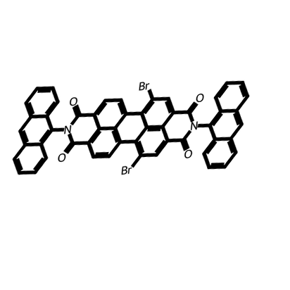 O=C1c2ccc3c4c(Br)cc5c6c(cc(Br)c(c7ccc(c2c37)C(=O)N1c1c2ccccc2cc2ccccc12)c64)C(=O)N(c1c2ccccc2cc2ccccc12)C5=O